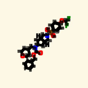 O=C(OCc1ccccc1)N(CC1CCOCC1)C1C[C@@H]2CN(S(=O)(=O)c3ccc(OC(F)F)cc3)C[C@@H]2C1